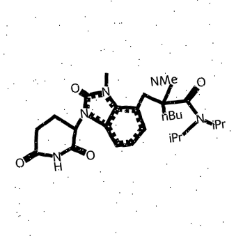 CCCCC(Cc1cccc2c1n(C)c(=O)n2C1CCC(=O)NC1=O)(NC)C(=O)N(C(C)C)C(C)C